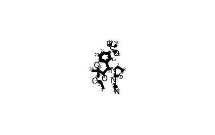 CC(=O)OC1C(N2CCS/C2=N\C#N)c2cc(S(C)(=O)=O)ccc2OC1(C)C